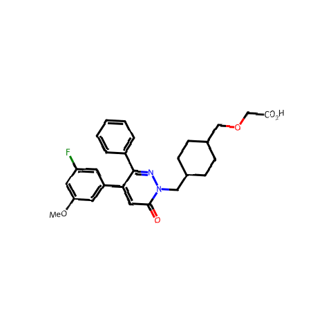 COc1cc(F)cc(-c2cc(=O)n(CC3CCC(COCC(=O)O)CC3)nc2-c2ccccc2)c1